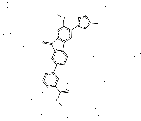 COC(=O)c1cccc(-c2ccc3c(c2)C(=O)c2cc(OC)c(-n4cnc(C)c4)cc2-3)c1